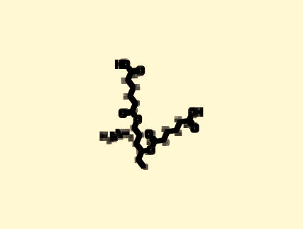 CCC(CCCOC(=O)CCCCC(=O)O)OC(=O)CCCCC(=O)O.N.N